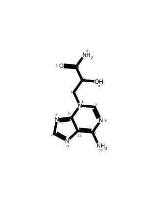 NC(=O)C(O)Cn1cnc(N)c2ncnc1-2